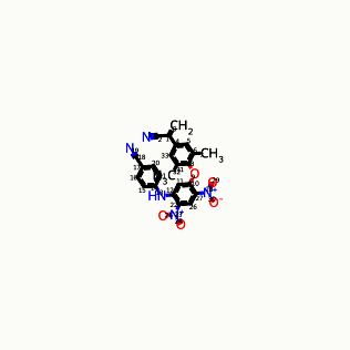 C=C(C#N)c1cc(C)c(Oc2cc(Nc3ccc(C#N)cc3)c([N+](=O)[O-])cc2[N+](=O)[O-])c(C)c1